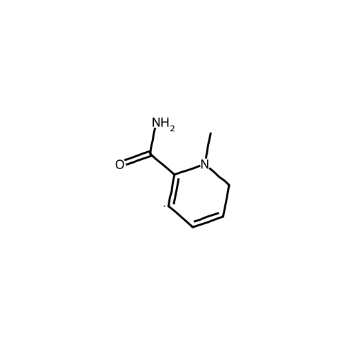 CN1CC=C[C]=C1C(N)=O